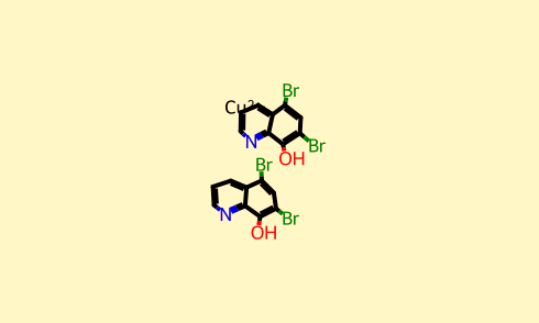 Oc1c(Br)cc(Br)c2cccnc12.Oc1c(Br)cc(Br)c2cccnc12.[Cu+2]